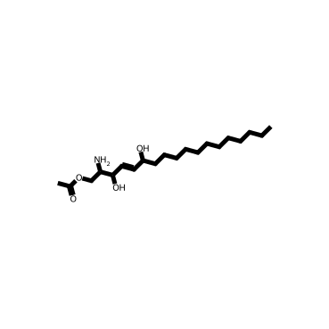 CCCCCCCCCCCCC(O)/C=C/C(O)C(N)COC(C)=O